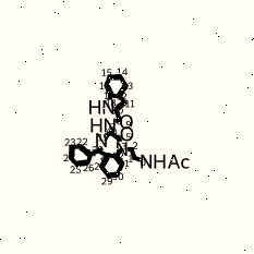 CC(=O)NCCN1C(=O)[C@@H](NC(=O)c2cc3ccccc3[nH]2)N=C(c2ccccc2)c2ccccc21